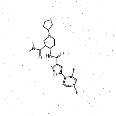 CN(C)C(=O)C1CN(C2CCCC2)CCC1NC(=O)c1cc(-c2ccc(F)cc2F)on1